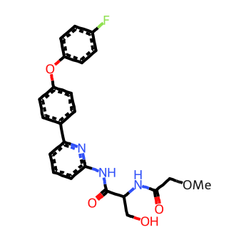 COCC(=O)NC(CO)C(=O)Nc1cccc(-c2ccc(Oc3ccc(F)cc3)cc2)n1